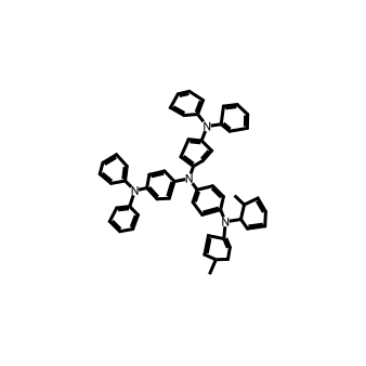 CC1C=CC(N(c2ccc(N(c3ccc(N(c4ccccc4)c4ccccc4)cc3)c3ccc(N(c4ccccc4)c4ccccc4)cc3)cc2)C2C=CC=CC2C)=CC1